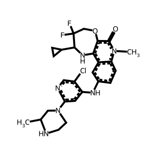 CC1CN(c2cc(Nc3ccc4c(c3)c3c(c(=O)n4C)OCC(F)(F)C(C4CC4)N3)c(Cl)cn2)CCN1